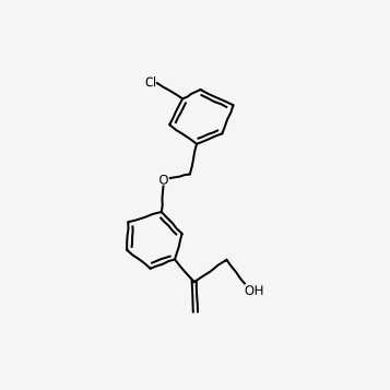 C=C(CO)c1cccc(OCc2cccc(Cl)c2)c1